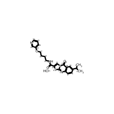 CC(C)c1ccc2nc3sc(C(=O)NCCCCOc4cccnc4)cn3c(=O)c2c1.Cl